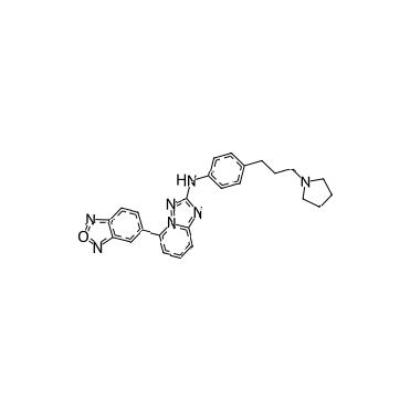 c1cc(-c2ccc3nonc3c2)n2nc(Nc3ccc(CCCN4CCCC4)cc3)nc2c1